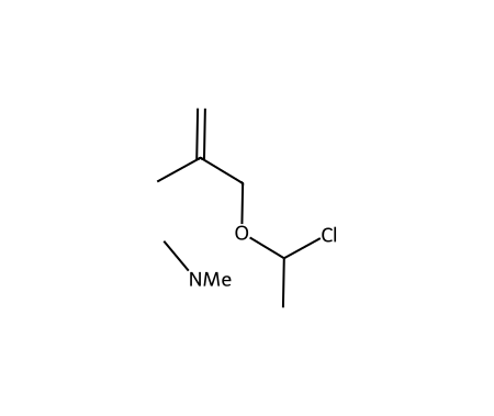 C=C(C)COC(C)Cl.CNC